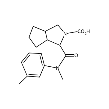 Cc1cccc(N(C)C(=O)C2C3CCCC3CN2C(=O)O)c1